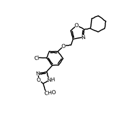 O=CC1NC(c2ccc(OCc3coc(C4CCCCC4)n3)cc2Cl)=NO1